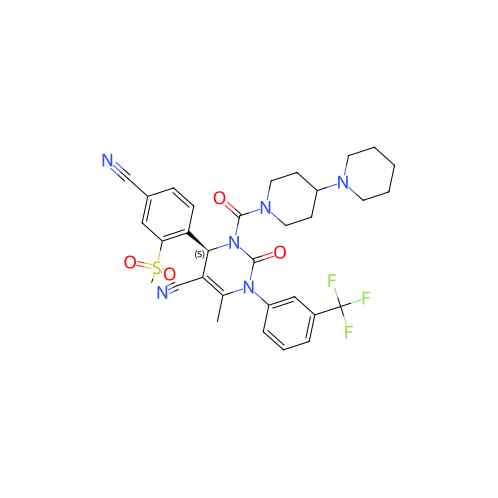 CC1=C(C#N)[C@@H](c2ccc(C#N)cc2S(C)(=O)=O)N(C(=O)N2CCC(N3CCCCC3)CC2)C(=O)N1c1cccc(C(F)(F)F)c1